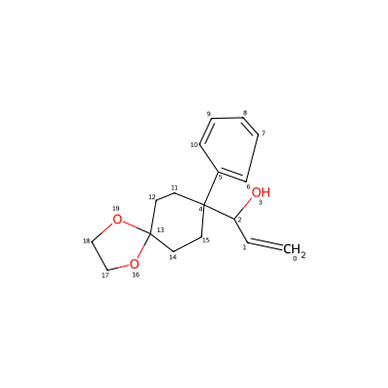 C=CC(O)C1(c2ccccc2)CCC2(CC1)OCCO2